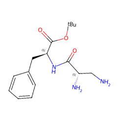 CC(C)(C)OC(=O)[C@H](Cc1ccccc1)NC(=O)[C@@H](N)CN